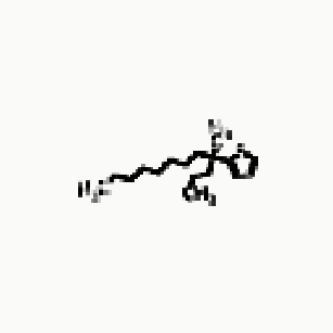 CCCCCCCCC(C)(CCC)c1cccs1